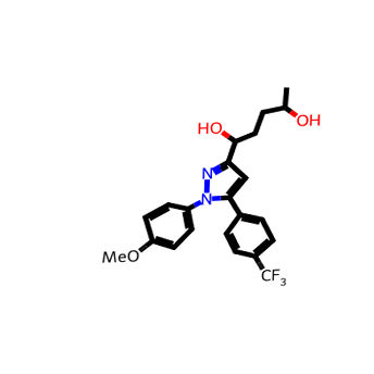 COc1ccc(-n2nc(C(O)CCC(C)O)cc2-c2ccc(C(F)(F)F)cc2)cc1